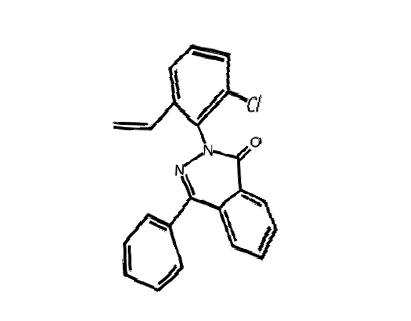 C=Cc1cccc(Cl)c1-n1nc(-c2ccccc2)c2ccccc2c1=O